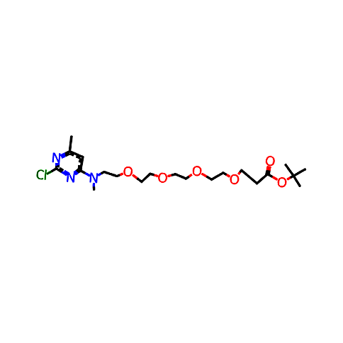 Cc1cc(N(C)CCOCCOCCOCCOCCC(=O)OC(C)(C)C)nc(Cl)n1